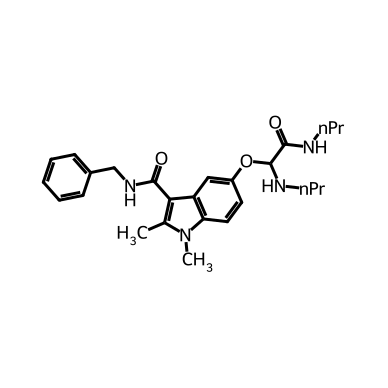 CCCNC(=O)C(NCCC)Oc1ccc2c(c1)c(C(=O)NCc1ccccc1)c(C)n2C